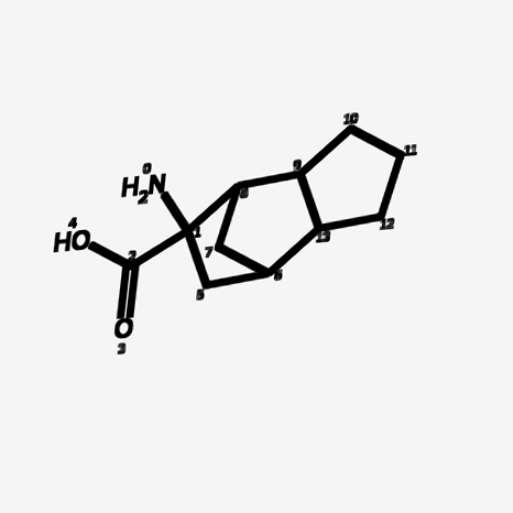 NC1(C(=O)O)CC2CC1C1CCCC21